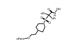 CCCCCOCCC1CCN(S(=O)(=O)C(CCC)(CCC)C(=O)NO)CC1